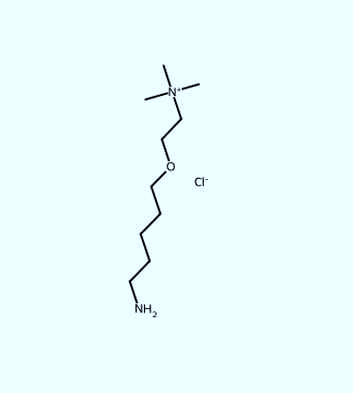 C[N+](C)(C)CCOCCCCCN.[Cl-]